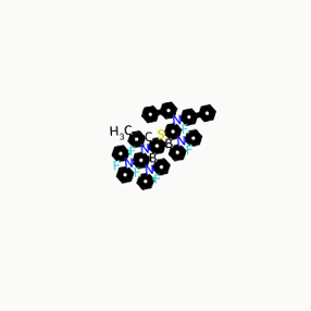 Cc1ccc(N2c3cc(N(c4ccccc4)c4c(F)cccc4F)cc4c3B(c3ccccc3N4c3c(F)cccc3F)c3cc4c(c(C(F)(F)F)c32)Sc2cc(N(c3ccc(-c5ccccc5)cc3)c3cccc(-c5ccccc5)c3)cc3c2B4c2ccccc2N3c2c(F)cccc2F)cc1